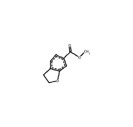 COC(=O)c1ccc2c(c1)OCC2